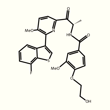 COc1cc(C(=O)N[C@@H](C)C(=O)c2ccc(OC)c(-c3csc4c(F)cccc34)n2)ccc1OCCO